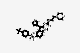 CC(C)(C)c1ccc(S(=O)(=O)Nc2ccc3[nH]c(OC(=O)NCCN4CCOCC4)c(-c4ccsc4)c3c2)cc1